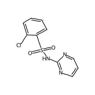 O=S(=O)(Nc1ncccn1)c1c[c]ccc1Cl